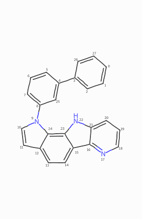 c1ccc(-c2cccc(-n3ccc4ccc5c6ncccc6[nH]c5c43)c2)cc1